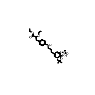 CCOC(=O)C(Cc1ccc(NCCCC2=CCC(NS(C)(=O)=O)(OC(C)(C)C)C=C2)cc1)OCC